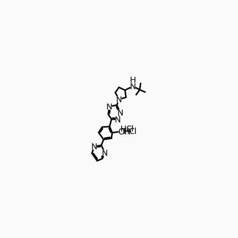 CC(C)(C)NC1CCN(c2ncc(-c3ccc(-c4ncccn4)cc3O)nn2)C1.Cl.Cl